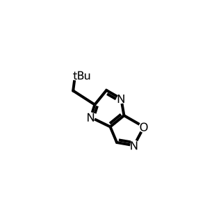 CC(C)(C)Cc1cnc2oncc2n1